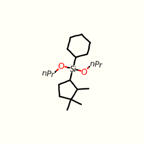 CCCO[Si](OCCC)(C1CCCCC1)C1CCC(C)(C)C1C